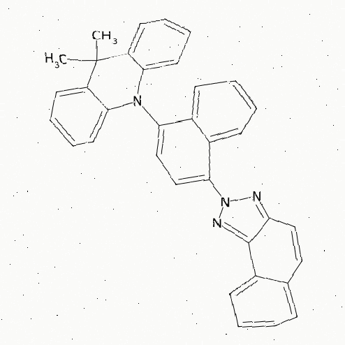 CC1(C)c2ccccc2N(c2ccc(-n3nc4ccc5ccccc5c4n3)c3ccccc23)c2ccccc21